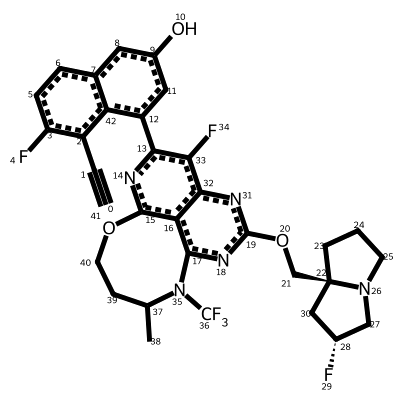 C#Cc1c(F)ccc2cc(O)cc(-c3nc4c5c(nc(OC[C@@]67CCCN6C[C@H](F)C7)nc5c3F)N(C(F)(F)F)C(C)CCO4)c12